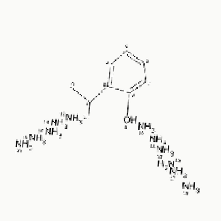 CC(C)c1ccccc1O.N.N.N.N.N.N.N.N.N.N.N